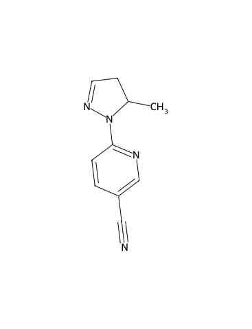 CC1CC=NN1c1ccc(C#N)cn1